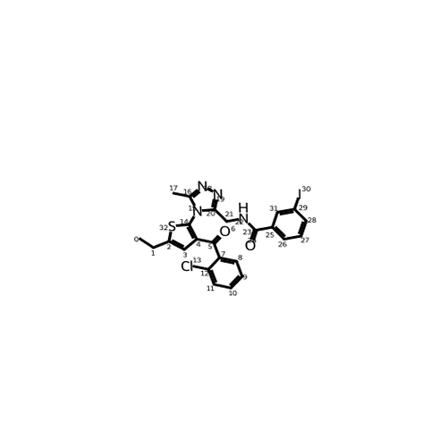 CCc1cc(C(=O)c2ccccc2Cl)c(-n2c(C)nnc2CNC(=O)c2cccc(I)c2)s1